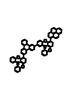 c1ccc2c(c1)Oc1ccc(-c3ccc4c5ccccc5c5cc(-c6ccc7c(c6)B6c8ccccc8Oc8ccc(-c9ccc%10ccc%11cccc%12ccc9c%10c%11%12)c(c86)O7)ccc5c4c3)c3c1B2c1ccccc1O3